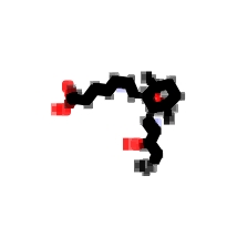 CCC(O)/C=C/[C@@H]1[C@H](C/C=C\C=CCC(=O)O)[C@@H]2CC[C@H]1O2